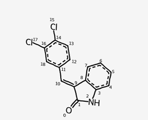 O=C1Nc2ccccc2/C1=C\c1ccc(Cl)c(Cl)c1